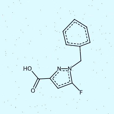 O=C(O)c1cc(F)n(Cc2ccccc2)n1